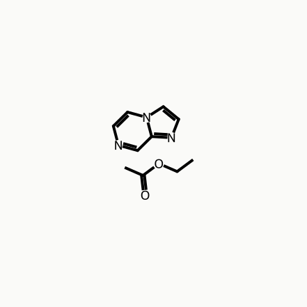 CCOC(C)=O.c1cn2ccnc2cn1